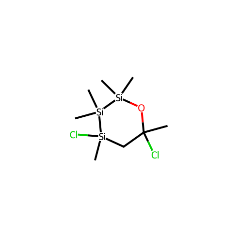 CC1(Cl)C[Si](C)(Cl)[Si](C)(C)[Si](C)(C)O1